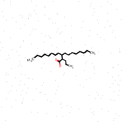 CCCCCCCCC(CCCCCCCC)C(CCC)C([O])=O